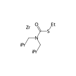 CCSC(=O)N(CC(C)C)CC(C)C.[Zr]